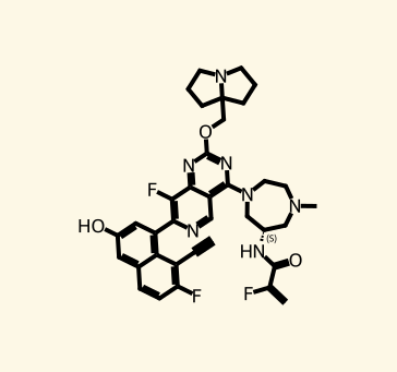 C#Cc1c(F)ccc2cc(O)cc(-c3ncc4c(N5CCN(C)C[C@H](NC(=O)C(=C)F)C5)nc(OCC56CCCN5CCC6)nc4c3F)c12